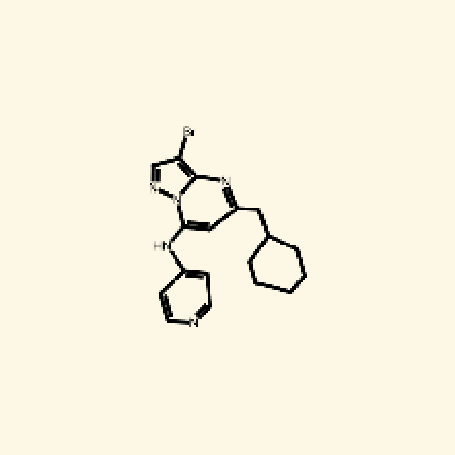 Brc1cnn2c(Nc3ccncc3)cc(CC3CCCCC3)nc12